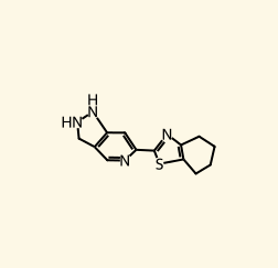 c1nc(-c2nc3c(s2)CCCC3)cc2c1CNN2